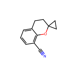 N#Cc1cccc2c1OC1(CC2)CC1